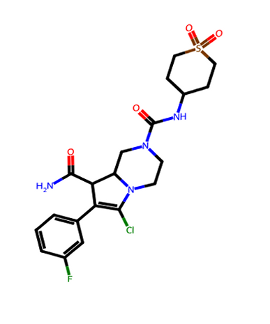 NC(=O)C1C(c2cccc(F)c2)=C(Cl)N2CCN(C(=O)NC3CCS(=O)(=O)CC3)CC12